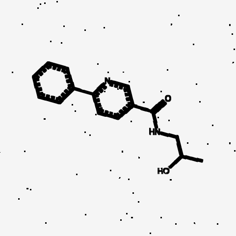 CC(O)CNC(=O)c1ccc(-c2ccccc2)nc1